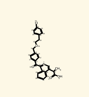 CC(C(=O)O)c1cnc(C(=O)c2ccc(COCCc3ccc(Cl)cc3)cc2)c2ccccc12